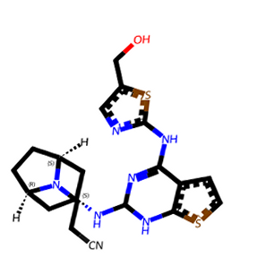 N#CCCN1[C@@H]2CC[C@H]1C[C@H](NC1N=C(Nc3ncc(CO)s3)c3ccsc3N1)C2